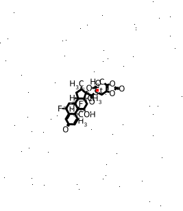 CCC(=O)O[C@]1(C(=O)SCc2oc(=O)oc2C)[C@H](C)C[C@H]2[C@@H]3C[C@H](F)C4=CC(=O)C=C[C@]4(C)[C@@]3(F)[C@@H](O)C[C@@]21C